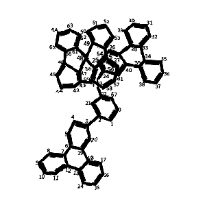 c1cc(-c2ccc3c4ccccc4c4ccccc4c3c2)cc(N(c2ccc3c4ccccc4c4ccccc4c3c2)c2cccc3c2C2(c4ccccc4-c4ccccc42)c2ccccc2-3)c1